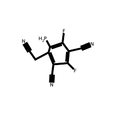 N#CCc1c(P)c(F)c(C#N)c(F)c1C#N